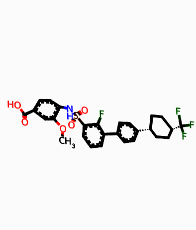 COc1cc(C(=O)O)ccc1NS(=O)(=O)c1cccc(-c2ccc([C@H]3CC[C@@H](C(F)(F)F)CC3)cc2)c1F